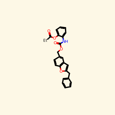 CCC(=O)Oc1ccccc1NC(=O)OCc1ccc2oc(Cc3ccccc3)cc2c1